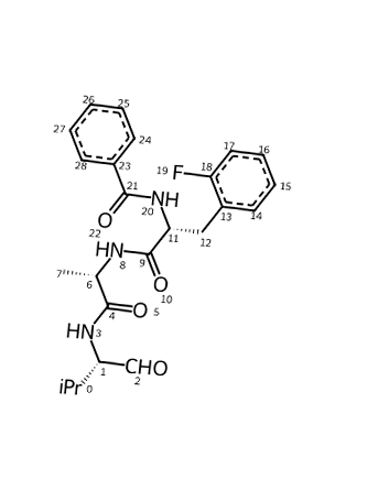 CC(C)[C@@H](C=O)NC(=O)[C@H](C)NC(=O)[C@@H](Cc1ccccc1F)NC(=O)c1ccccc1